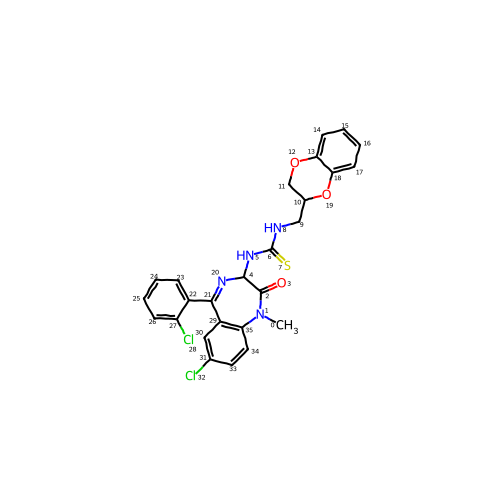 CN1C(=O)C(NC(=S)NCC2COc3ccccc3O2)N=C(c2ccccc2Cl)c2cc(Cl)ccc21